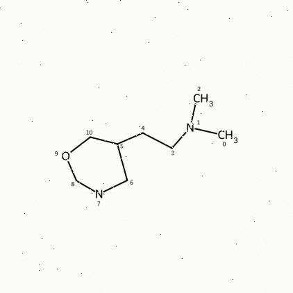 CN(C)CCC1C[N]COC1